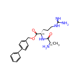 C[C@H](N)C(=O)N[C@@H](CCCNC(=N)N)C(=O)OCc1ccc(-c2ccccc2)cc1